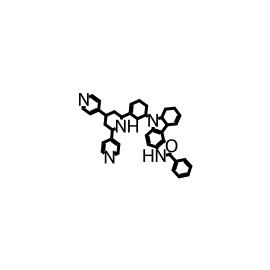 C1=CC2c3c(ccc4c3OC(c3ccccc3)N4)N(C3CCC=C(C4CC(c5ccncc5)CC(c5ccncc5)N4)C3)C2CC1